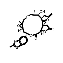 C=CC[C@H]1C(=O)[C@]2(C)CC(=O)O[C@H]2CC(=O)O[C@H](c2ccc3sc(C)nc3c2)C[C@@H]2O[C@]2(C)CCC[C@H](C)[C@@H]1O